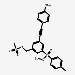 CCOP(=O)(c1ccc(C)cc1)c1cc(C#Cc2ccc(OC)cc2)cc(COS(C)(=O)=O)n1